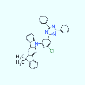 CC1(C)c2ccccc2-c2cc3c(cc21)c1ccccc1n3-c1cc(Cl)cc(-c2nc(-c3ccccc3)nc(-c3ccccc3)n2)c1